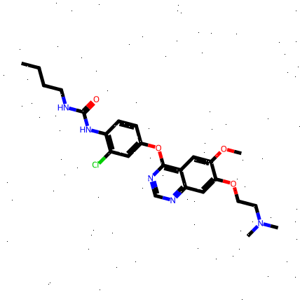 CCCCNC(=O)Nc1ccc(Oc2ncnc3cc(OCCN(C)C)c(OC)cc23)cc1Cl